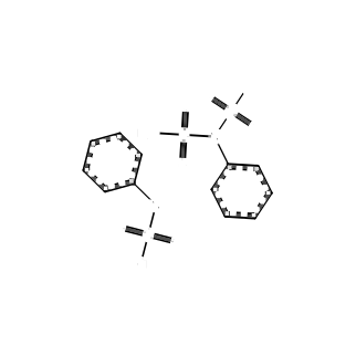 O=S(=O)(N(c1ccccc1)S(=O)(=O)C(F)(F)F)C(F)(F)F.O=S(=O)(Nc1ccccc1)C(F)(F)F